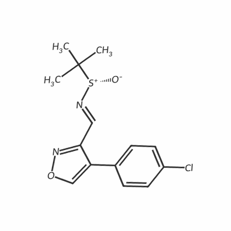 CC(C)(C)[S@+]([O-])N=Cc1nocc1-c1ccc(Cl)cc1